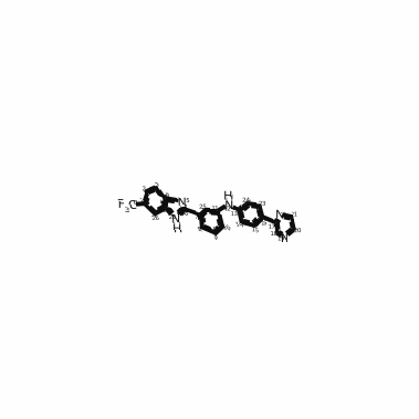 FC(F)(F)c1ccc2nc(-c3cccc(Nc4ccc(-c5cnccn5)cc4)c3)[nH]c2c1